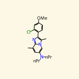 CCCN(CCC)c1cc(C)c2nc(-c3ccc(OC)cc3Cl)c(C)n2c1